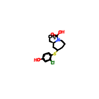 CC[C@@H]1CC(Sc2ccc(O)cc2Cl)CCCN1C(=O)O